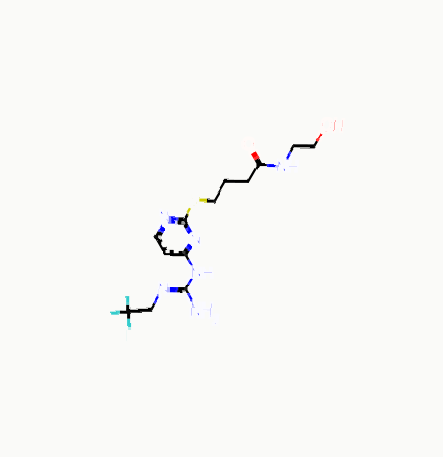 NC(=NCC(F)(F)F)Nc1ccnc(SCCCC(=O)NCCO)n1